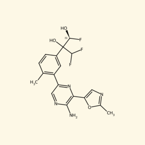 Cc1ncc(-c2nc(-c3cc(C(O)(C(F)F)[C@@H](O)F)ccc3C)cnc2N)o1